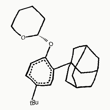 CC(C)(C)c1ccc(O[C@H]2CCCCO2)c(C23CC4CC(CC(C4)C2)C3)c1